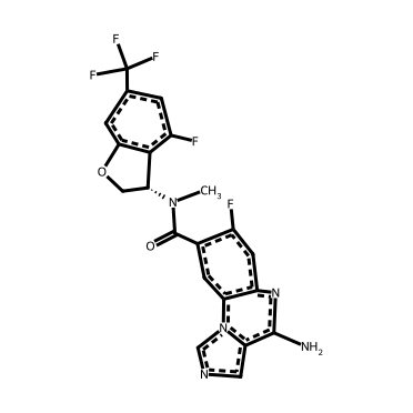 CN(C(=O)c1cc2c(cc1F)nc(N)c1cncn12)[C@@H]1COc2cc(C(F)(F)F)cc(F)c21